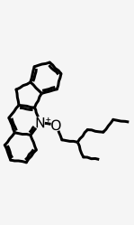 CCCCC(CC)CO[n+]1c2c(cc3ccccc31)Cc1ccccc1-2